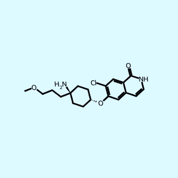 COCCC[C@]1(N)CC[C@H](Oc2cc3cc[nH]c(=O)c3cc2Cl)CC1